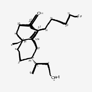 CC(CO)[C@@H]1CC[C@]2(C)CCC(=O)C(CCCCF)=C2C1